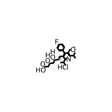 COCc1c(C(C)C)nc(C(C)C)c(/C=C/C(O)CC(O)CC(=O)O)c1-c1ccc(F)cc1.Cl